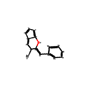 CCC1C=C2C=CC=C2OC1=Cc1ccccc1